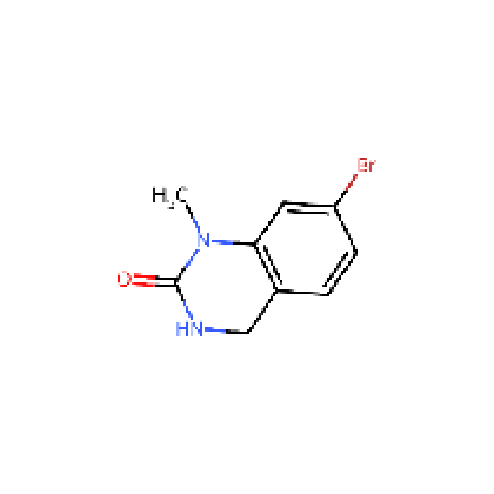 CN1C(=O)NCc2ccc(Br)cc21